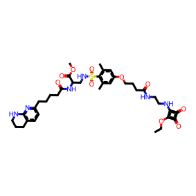 CCOc1c(NCCNC(=O)CCCOc2cc(C)c(S(=O)(=O)NCC(NC(=O)CCCCc3ccc4c(n3)NCCC4)C(=O)OC)c(C)c2)c(=O)c1=O